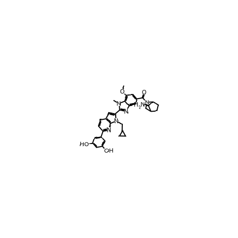 COc1cc(C(=O)N2CC3CCC2C3N)cc2nc(-c3cc4ccc(-c5cc(O)cc(O)c5)nc4n3CC3CC3)n(C)c12